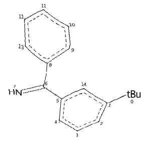 CC(C)(C)c1cc[c]c(C(=N)c2ccccc2)c1